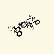 CCOCc1nc2c(N)nc3ccccc3c2n1CC(C)(C)NC(=O)NC1CCCC1